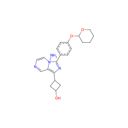 N[N+]12C=CN=CC1=C(C1CC(O)C1)N=C2c1ccc(OC2CCCCO2)cc1